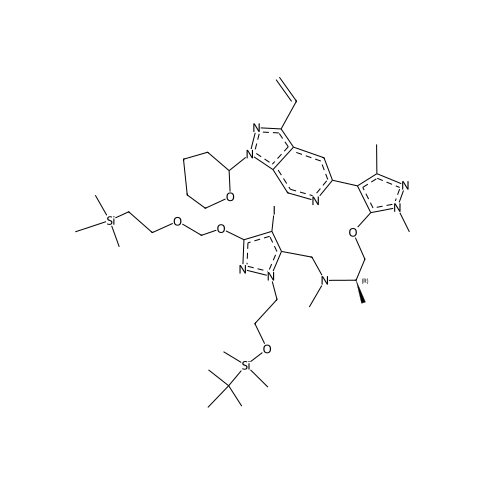 C=Cc1nn(C2CCCCO2)c2cnc(-c3c(C)nn(C)c3OC[C@@H](C)N(C)Cc3c(I)c(OCOCC[Si](C)(C)C)nn3CCO[Si](C)(C)C(C)(C)C)cc12